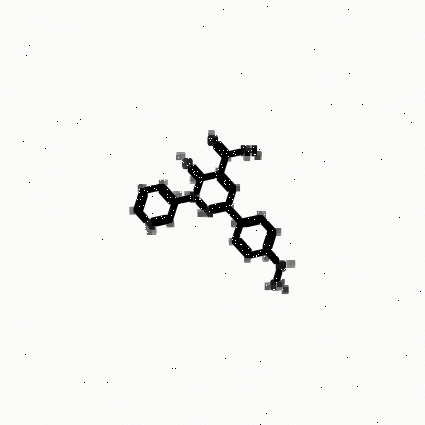 NC(=O)c1cc(-c2ccc(OC(F)(F)F)cc2)nn(-c2cccnc2)c1=O